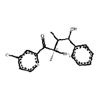 CC(C(O)c1ccccc1)[C@@](C)(N)C(=O)c1cc(Cl)ccn1